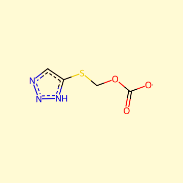 [O]C(=O)OCSc1cnn[nH]1